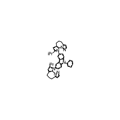 CC(C)c1cc2c(n1-c1ccc3c(c1)c1cc(-n4c(C(C)C)cc5c4-n4nccc4CCC5)ccc1n3-c1ccccc1)-n1nccc1CCC2